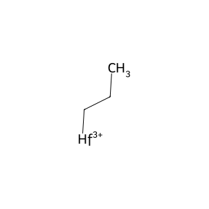 CC[CH2][Hf+3]